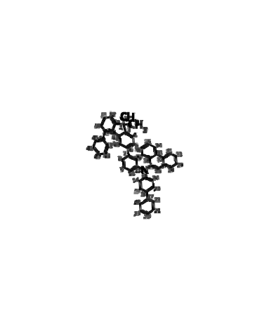 CC1(C)c2ccc(-c3cccc(N(c4ccc(-c5ccccc5)cc4)c4cc5ccccc5c5ccccc45)c3)cc2-c2c(-c3ccccc3)cccc21